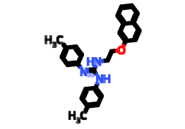 Cc1ccc(/N=C(\NCCOc2ccc3ccccc3c2)Nc2ccc(C)cc2)cc1